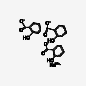 O=C([O-])c1ccccc1O.O=C([O-])c1ccccc1O.O=C([O-])c1ccccc1O.[Nd+3]